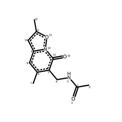 CC(=O)NCc1c(C)cc2cc(C)on2c1=O